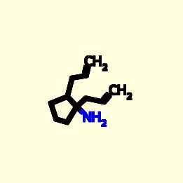 C=CCC1CCCC1(N)CC=C